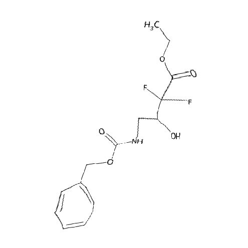 CCOC(=O)C(F)(F)C(O)CNC(=O)OCc1ccccc1